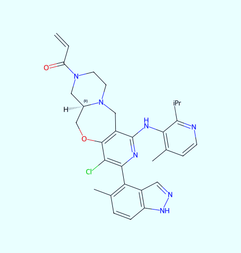 C=CC(=O)N1CCN2Cc3c(Nc4c(C)ccnc4C(C)C)nc(-c4c(C)ccc5[nH]ncc45)c(Cl)c3OC[C@H]2C1